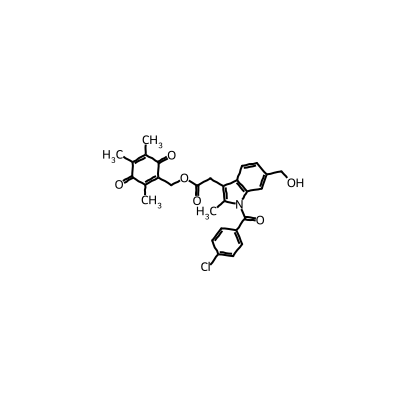 CC1=C(C)C(=O)C(COC(=O)Cc2c(C)n(C(=O)c3ccc(Cl)cc3)c3cc(CO)ccc23)=C(C)C1=O